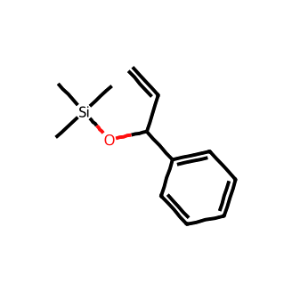 C=CC(O[Si](C)(C)C)c1ccccc1